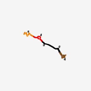 POCCBr